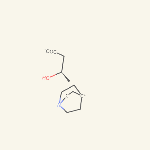 C1CN2CC[C+]1CC2.C[C@@H](O)CC(=O)[O-]